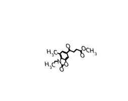 CCn1c(=O)oc2cc(C(=O)CCC(=O)OC)cc(C)c21